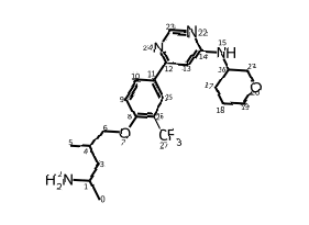 CC(N)CC(C)COc1ccc(-c2cc(NC3CCCOC3)ncn2)cc1C(F)(F)F